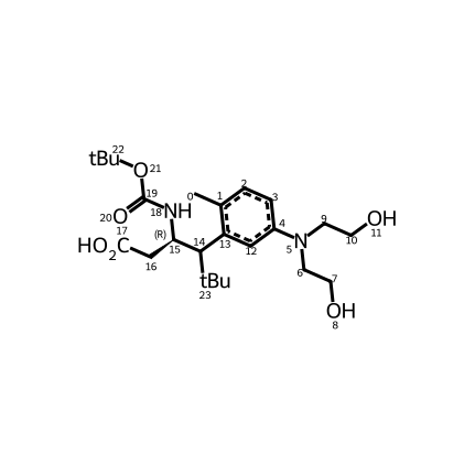 Cc1ccc(N(CCO)CCO)cc1C([C@@H](CC(=O)O)NC(=O)OC(C)(C)C)C(C)(C)C